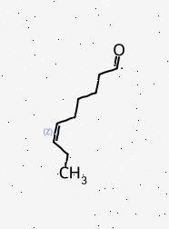 CC/C=C\CCCC[C]=O